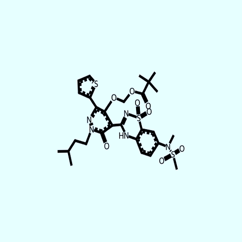 CC(C)CCn1nc(-c2cccs2)c(OCOC(=O)C(C)(C)C)c(C2=NS(=O)(=O)c3cc(N(C)S(C)(=O)=O)ccc3N2)c1=O